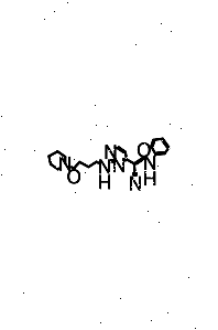 N#CC(=C1Nc2ccccc2O1)c1ccnc(NCCCC(=O)N2CCCCC2)n1